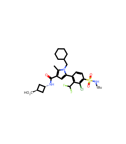 Cc1c(C(=O)N[C@H]2C[C@H](C(=O)O)C2)cc(-c2ccc(S(=O)(=O)NC(C)(C)C)c(Cl)c2C(F)F)n1CC1CCCCC1